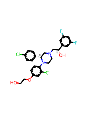 OCCOc1ccc(N2CCN(C[C@@H](O)c3cc(F)cc(F)c3)C[C@H]2c2ccc(Cl)cc2)c(Cl)c1